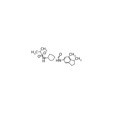 Cc1cc(NC(=O)[C@H]2CC[C@H](NS(=O)(=O)C(C)C)CC2)cc2c1C(C)CC2